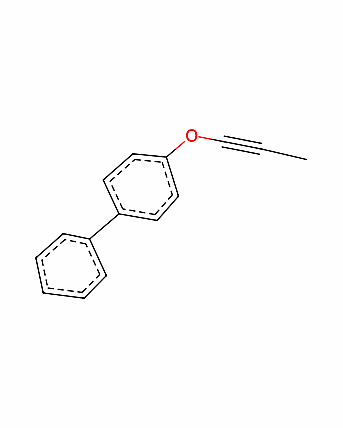 CC#COc1ccc(-c2ccccc2)cc1